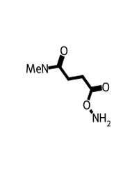 CNC(=O)CCC(=O)ON